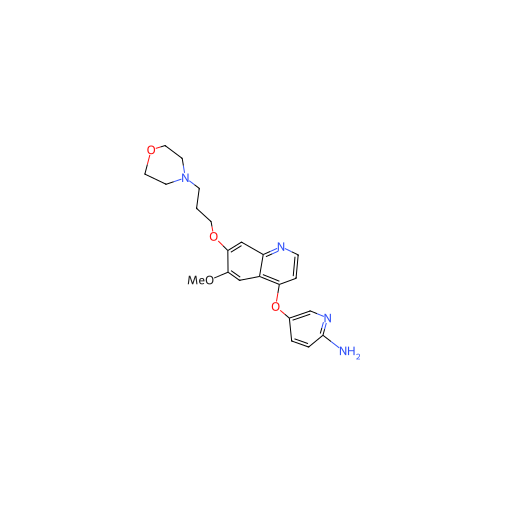 COc1cc2c(Oc3ccc(N)nc3)ccnc2cc1OCCCN1CCOCC1